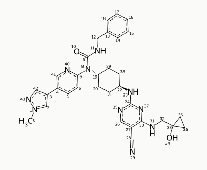 Cn1cc(-c2ccc(N(C(=O)NCc3ccccc3)[C@H]3CC[C@H](Nc4ncc(C#N)c(NCC5(O)CC5)n4)CC3)nc2)cn1